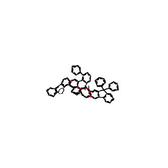 c1ccc(-c2ccccc2-c2c(-c3ccccc3)cccc2N(c2cccc(-c3cccc4c3oc3ccccc34)c2)c2ccc3c(c2)C(c2ccccc2)(c2ccccc2)c2ccccc2-3)cc1